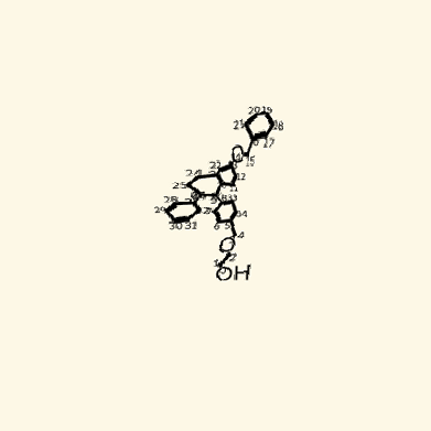 OCCOCc1ccc([C@@H]2c3ccc(OCc4ccccc4)cc3CC[C@@H]2C2C=CC=CC2)cc1